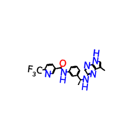 Cc1c[nH]c2ncc(N[C@@H](C)c3cccc(NC(=O)c4ccc(C(F)(F)F)nc4)c3)nc12